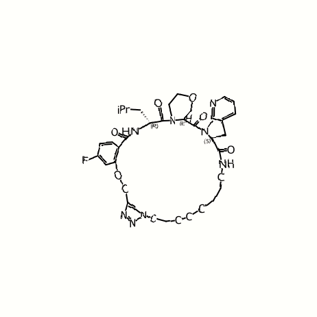 CC(C)C[C@H]1NC(=O)c2ccc(F)cc2OCc2cn(nn2)CCCCCCCCNC(=O)[C@H](Cc2cccnc2)N(C)C(=O)[C@H]2COCCN2C1=O